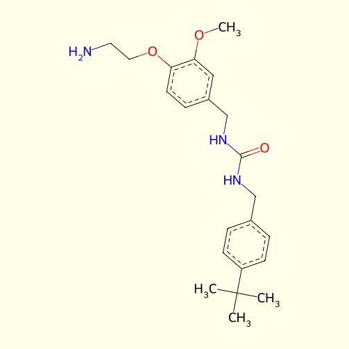 COc1cc(CNC(=O)NCc2ccc(C(C)(C)C)cc2)ccc1OCCN